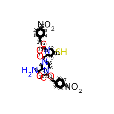 NC(=O)C1CN(C(=O)[C@@H]2C[C@H](S)CN2C(=O)OCc2ccc([N+](=O)[O-])cc2)CCN1C(=O)OCc1ccc([N+](=O)[O-])cc1